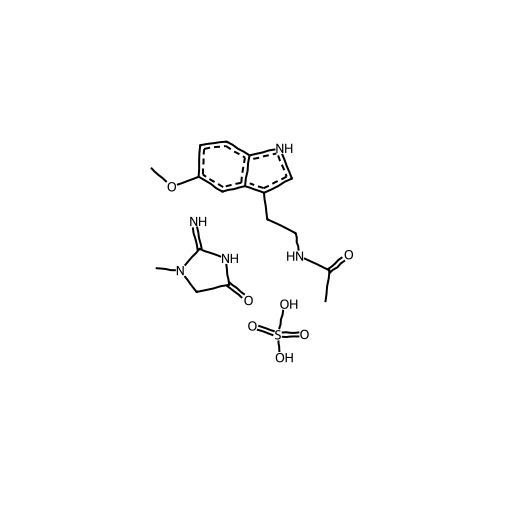 CN1CC(=O)NC1=N.COc1ccc2[nH]cc(CCNC(C)=O)c2c1.O=S(=O)(O)O